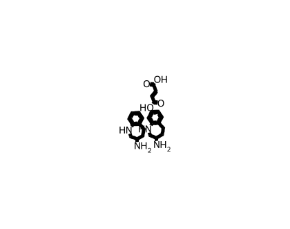 NC1CCc2ccccc2NC1.NC1CCc2ccccc2NC1.O=C(O)/C=C/C(=O)O